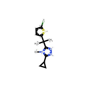 CCn1c(C2CC2)nnc1C(C)(C)c1ccc(Cl)s1